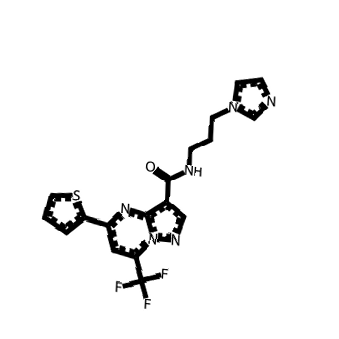 O=C(NCCCn1ccnc1)c1cnn2c(C(F)(F)F)cc(-c3cccs3)nc12